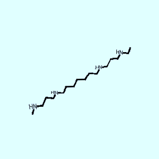 CCNCCCNCCCCCCCNCCCNC